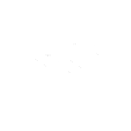 COc1cccc2nc(N)n(C/C=C/Cn3c(N)nc4cc(C(N)=O)cc(OC)c43)c12